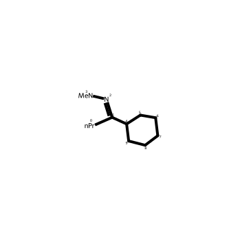 CCC/C(=N\NC)C1CCCCC1